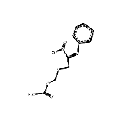 CC(=O)OCOCC(=Cc1ccccc1)[N+](=O)[O-]